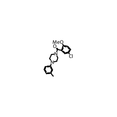 COc1ccc(Cl)cc1C(=O)N1CCN(c2cccc(C)c2)CC1